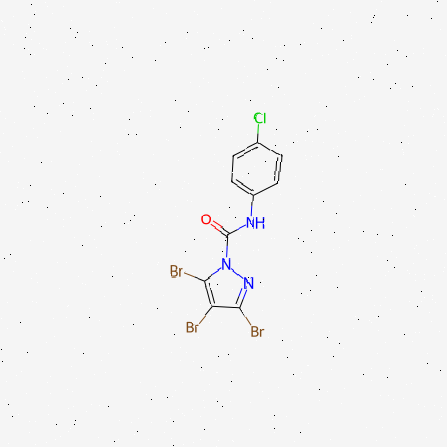 O=C(Nc1ccc(Cl)cc1)n1nc(Br)c(Br)c1Br